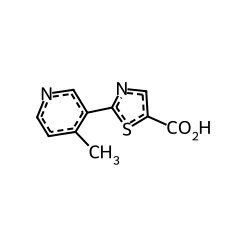 Cc1ccncc1-c1ncc(C(=O)O)s1